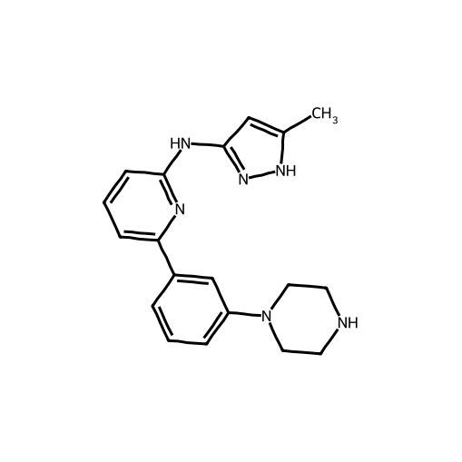 Cc1cc(Nc2cccc(-c3cccc(N4CCNCC4)c3)n2)n[nH]1